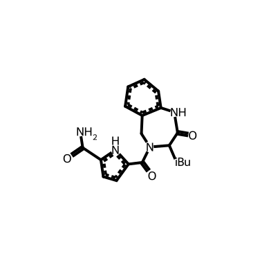 CCC(C)C1C(=O)Nc2ccccc2CN1C(=O)c1ccc(C(N)=O)[nH]1